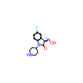 O=C1/C(=N\O)c2cc(F)ccc2N1C1CCNCC1